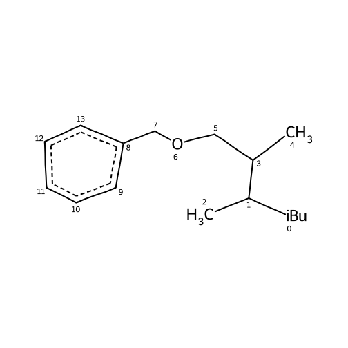 CCC(C)C(C)C(C)COCc1ccccc1